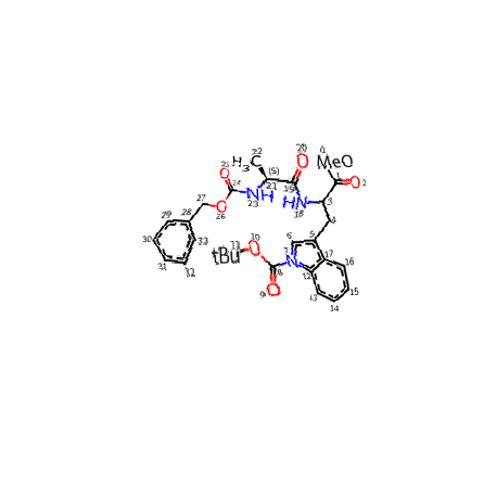 COC(=O)C(Cc1cn(C(=O)OC(C)(C)C)c2ccccc12)NC(=O)[C@H](C)NC(=O)OCc1ccccc1